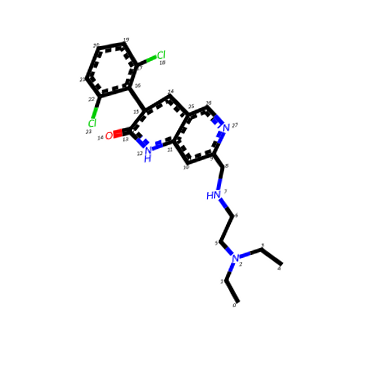 CCN(CC)CCNCc1cc2[nH]c(=O)c(-c3c(Cl)cccc3Cl)cc2cn1